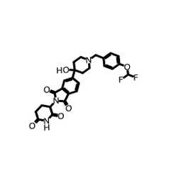 O=C1CCC(N2C(=O)c3ccc(C4(O)CCN(Cc5ccc(OC(F)F)cc5)CC4)cc3C2=O)C(=O)N1